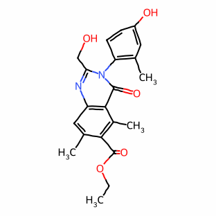 CCOC(=O)c1c(C)cc2nc(CO)n(-c3ccc(O)cc3C)c(=O)c2c1C